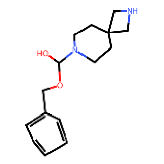 OC(OCc1ccccc1)N1CCC2(CC1)CNC2